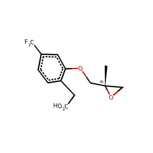 C[C@@]1(COc2cc(C(F)(F)F)ccc2CC(=O)O)CO1